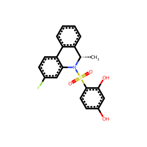 C[C@H]1c2ccccc2-c2ccc(F)cc2N1S(=O)(=O)c1ccc(O)cc1O